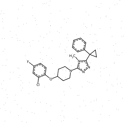 Cn1c(N2CCC(Oc3ccc(F)cc3Cl)CC2)nnc1C1(c2ccccc2)CC1